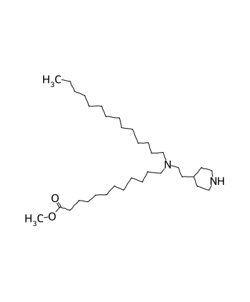 CCCCCCCCCCCCCCN(CCCCCCCCCCCC(=O)OC)CCC1CCNCC1